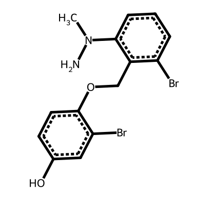 CN(N)c1cccc(Br)c1COc1ccc(O)cc1Br